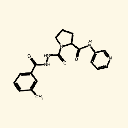 Cc1cccc(C(=O)NNC(=O)N2CCCC2C(=O)Nc2cccnc2)c1